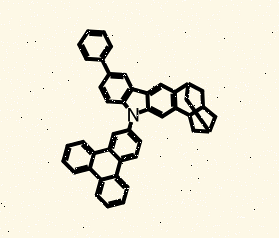 c1ccc(-c2ccc3c(c2)c2cc4c(cc2n3-c2ccc3c5ccccc5c5ccccc5c3c2)C2CC3CC4CC2C3)cc1